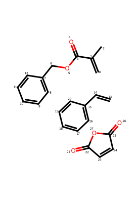 C=C(C)C(=O)OCc1ccccc1.C=Cc1ccccc1.O=C1C=CC(=O)O1